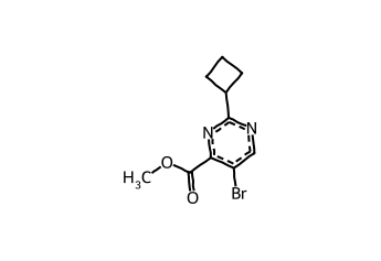 COC(=O)c1nc(C2CCC2)ncc1Br